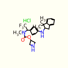 CN(C(=O)OC1CNC1)C(c1ccc(NC2Cc3ccccc3C2(C)C)cc1)C(F)(F)F.Cl